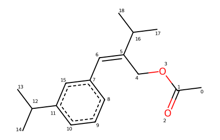 CC(=O)OCC(=Cc1cccc(C(C)C)c1)C(C)C